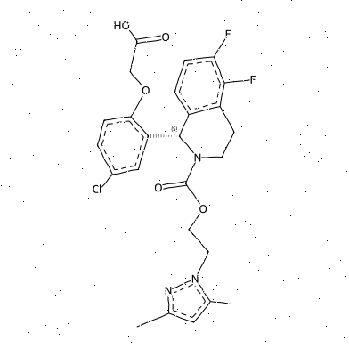 Cc1cc(C)n(CCOC(=O)N2CCc3c(ccc(F)c3F)[C@H]2c2cc(Cl)ccc2OCC(=O)O)n1